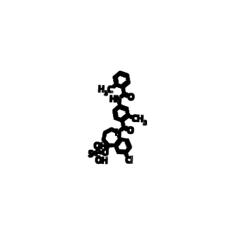 Cc1ccccc1C(=O)Nc1ccc(C(=O)N2CCCC(OP(O)(O)=S)c3cc(Cl)ccc32)c(C)c1